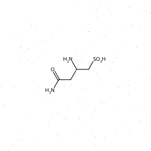 NC(=O)CC(N)CS(=O)(=O)O